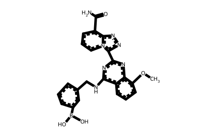 COc1cccc2c(NCc3cccc(B(O)O)c3)nc(-c3nnc4c(C(N)=O)cccn34)nc12